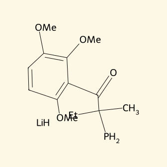 CCC(C)(P)C(=O)c1c(OC)ccc(OC)c1OC.[LiH]